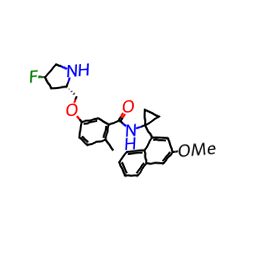 COc1cc(C2(NC(=O)c3cc(OC[C@@H]4C[C@@H](F)CN4)ccc3C)CC2)c2ccccc2c1